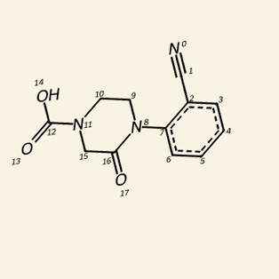 N#Cc1ccccc1N1CCN(C(=O)O)CC1=O